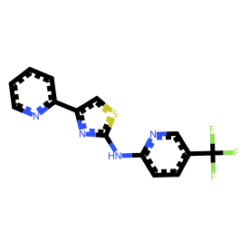 FC(F)(F)c1ccc(Nc2nc(-c3ccccn3)cs2)nc1